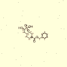 O=C(OCc1ccccc1)N1CCC(CC(O)S(=O)(=O)O)CC1